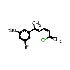 C=C(Cl)/C=C\C=C(/C)c1cc(C(C)C)cc(C(C)(C)C)c1